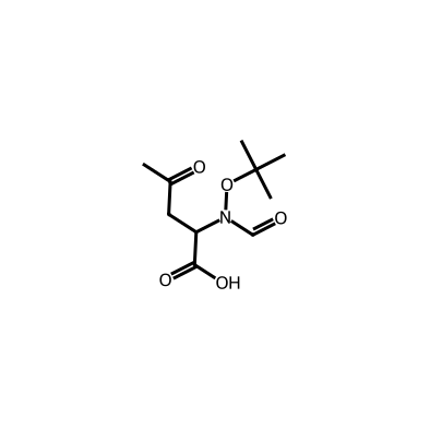 CC(=O)CC(C(=O)O)N(C=O)OC(C)(C)C